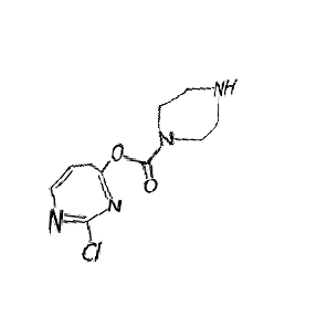 O=C(Oc1ccnc(Cl)n1)N1CCNCC1